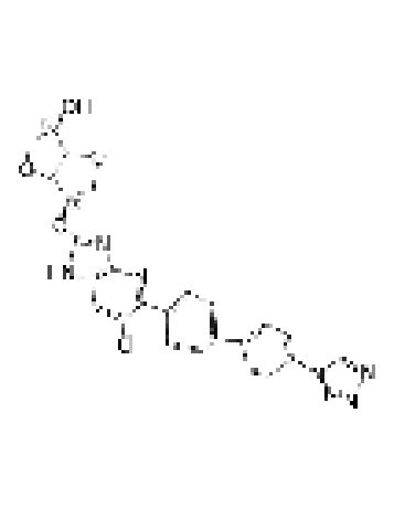 O[C@@H]1COC2C1OC[C@H]2Oc1nc2nc(-c3ccc(-c4ccc(-n5cnnn5)cc4)cc3)c(Cl)cc2[nH]1